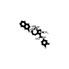 Cn1cc2c(c1C(O)Nc1ccc(F)c(F)c1)CC[C@H](Cc1ccc3ccccc3c1)NS2(=N)=O